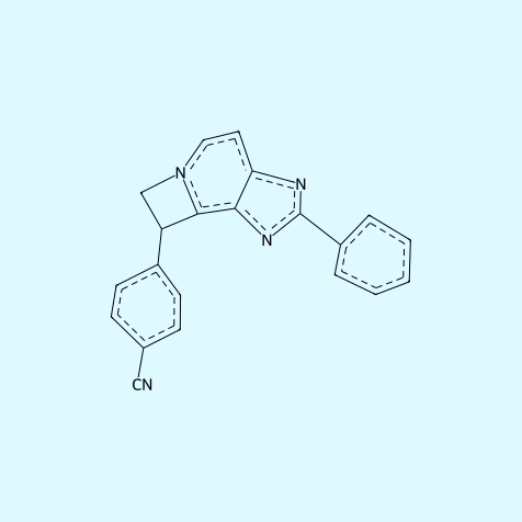 N#Cc1ccc(C2Cn3ccc4nc(-c5ccccc5)nc-4c32)cc1